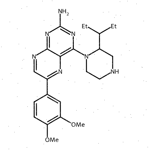 CCC(CC)C1CNCCN1c1nc(N)nc2ncc(-c3ccc(OC)c(OC)c3)nc12